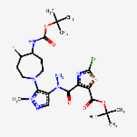 Cn1ncc(N(N)C(=O)c2nc(Br)sc2C(=O)OC(C)(C)C)c1N1CCC(F)C(NC(=O)OC(C)(C)C)CC1